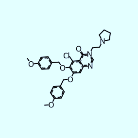 COc1ccc(COc2cc3ncn(CCN4CCCC4)c(=O)c3c(Cl)c2OCc2ccc(OC)cc2)cc1